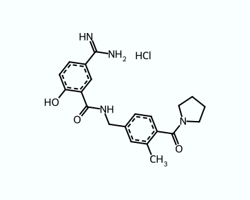 Cc1cc(CNC(=O)c2cc(C(=N)N)ccc2O)ccc1C(=O)N1CCCC1.Cl